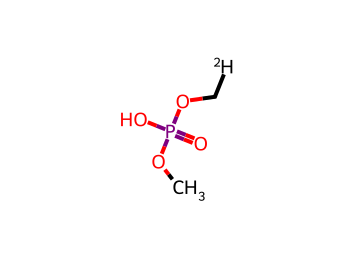 [2H]COP(=O)(O)OC